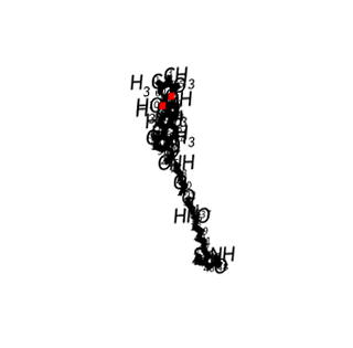 CC1=C(C)C(=O)O[C@@H]([C@](C)(O)[C@]2(O)CC[C@@]3(O)[C@@H]4C[C@H]5O[C@]56[C@@H](OC(=O)NCCOCCOCCNC(=O)CCCCC5SCC7CC(=O)NC75)C=CC(=O)[C@]6(C)[C@H]4CC[C@]23C)C1